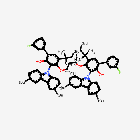 C[C@H](C[C@H](C)Oc1c(C(C)(C)CC(C)(C)C)cc(-c2cccc(F)c2)c(O)c1-n1c2ccc(C(C)(C)C)cc2c2cc(C(C)(C)C)ccc21)Oc1c(C(C)(C)CC(C)(C)C)cc(-c2cccc(F)c2)c(O)c1-n1c2ccc(C(C)(C)C)cc2c2cc(C(C)(C)C)ccc21